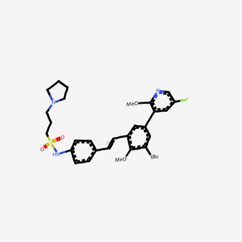 COc1ncc(F)cc1-c1cc(/C=C/c2ccc(NS(=O)(=O)CCCN3CCCC3)cc2)c(OC)c(C(C)(C)C)c1